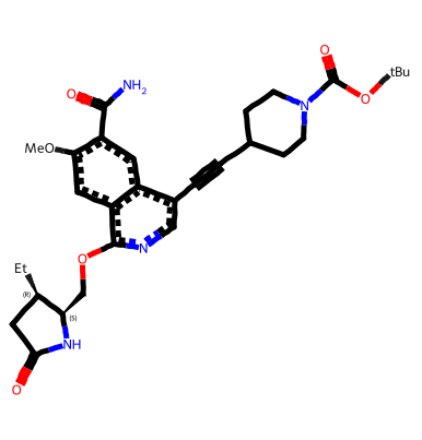 CC[C@@H]1CC(=O)N[C@@H]1COc1ncc(C#CC2CCN(C(=O)OC(C)(C)C)CC2)c2cc(C(N)=O)c(OC)cc12